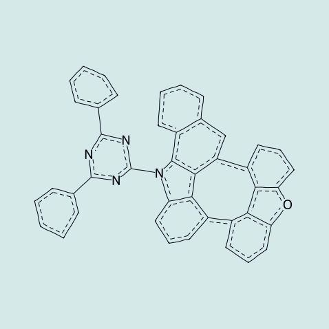 c1ccc(-c2nc(-c3ccccc3)nc(-n3c4cccc5c6cccc7oc8cccc(c9cc%10ccccc%10c3c9c54)c8c76)n2)cc1